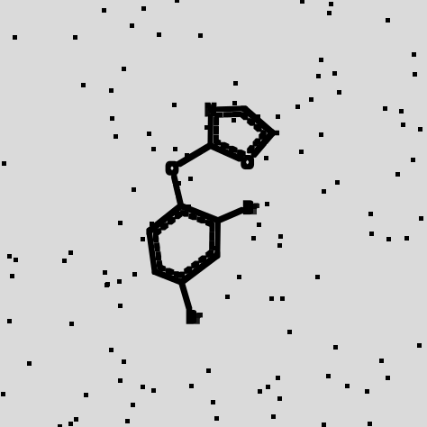 Brc1ccc(Oc2nc[c]o2)c(Br)c1